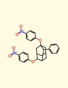 O=[N+]([O-])c1ccc(OC2C3CC4CC2C(c2ccccc2)C(Oc2ccc([N+](=O)[O-])cc2)(C4)C3)cc1